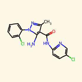 Cc1nn(-c2ccccc2Cl)c(N)c1C(=O)Nc1ccc(Cl)cn1